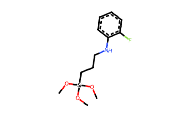 CO[Si](CCCNc1ccccc1F)(OC)OC